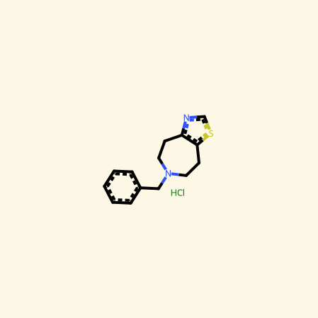 Cl.c1ccc(CN2CCc3ncsc3CC2)cc1